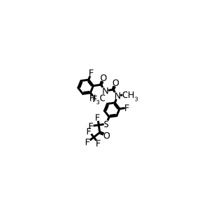 CN(C(=O)c1c(F)cccc1F)C(=O)N(C)c1ccc(SC(F)(F)C(=O)C(F)(F)F)cc1F